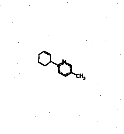 Cc1ccc(C2C=CCCC2)nc1